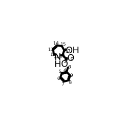 O=C(OCc1ccccc1)C1NCC=CCC1O